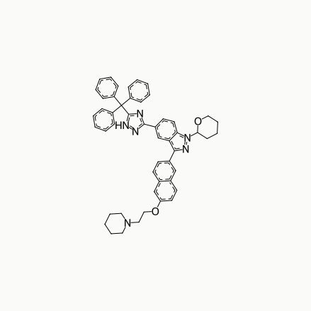 c1ccc(C(c2ccccc2)(c2ccccc2)c2nc(-c3ccc4c(c3)c(-c3ccc5cc(OCCN6CCCCC6)ccc5c3)nn4C3CCCCO3)n[nH]2)cc1